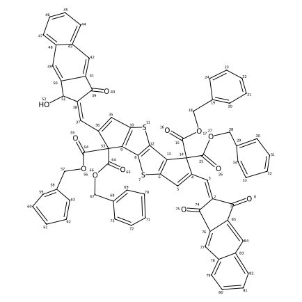 O=C1C(=CC2=Cc3sc4c5c(sc4c3C2(C(=O)OCc2ccccc2)C(=O)OCc2ccccc2)C=C(/C=C2\C(=O)c3cc4ccccc4cc3C2O)C5(C(=O)OCc2ccccc2)C(=O)OCc2ccccc2)C(=O)c2cc3ccccc3cc21